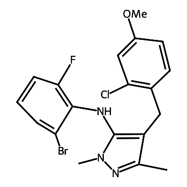 COc1ccc(Cc2c(C)nn(C)c2Nc2c(F)cccc2Br)c(Cl)c1